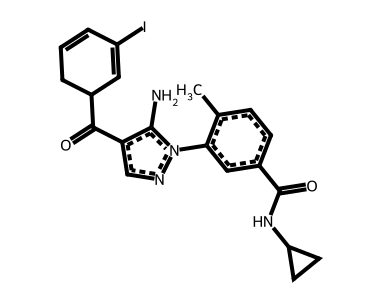 Cc1ccc(C(=O)NC2CC2)cc1-n1ncc(C(=O)C2C=C(I)C=CC2)c1N